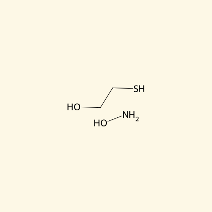 NO.OCCS